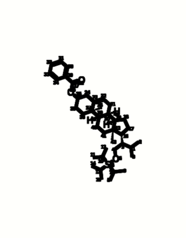 CC(C)C(CO[Si](C(C)C)(C(C)C)C(C)C)[C@H]1CC[C@H]2[C@@H]3CC=C4CC(OC(=O)c5ccccc5)CC[C@]4(C)[C@H]3CC[C@]12C